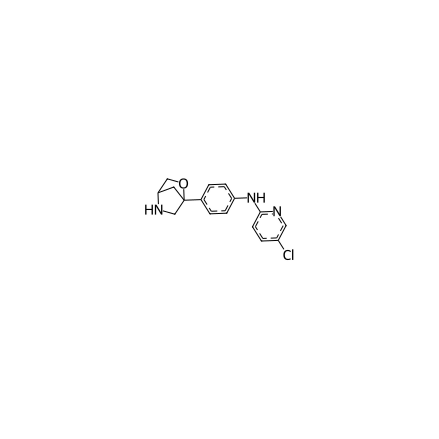 Clc1ccc(Nc2ccc(C34CNC(CO3)C4)cc2)nc1